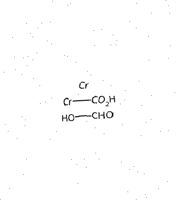 O=CO.O=[C](O)[Cr].[Cr]